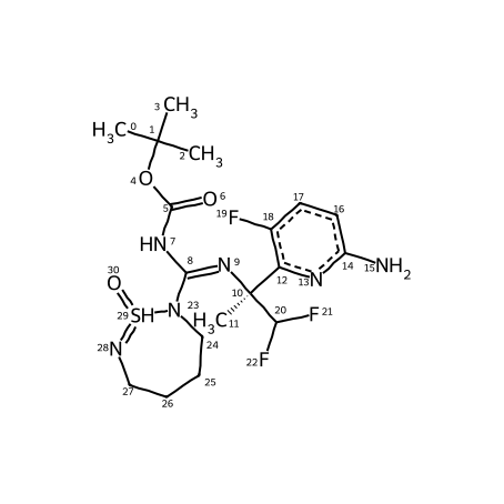 CC(C)(C)OC(=O)N/C(=N/[C@@](C)(c1nc(N)ccc1F)C(F)F)N1CCCCN=[SH]1=O